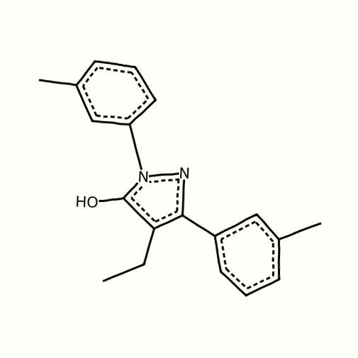 CCc1c(-c2cccc(C)c2)nn(-c2cccc(C)c2)c1O